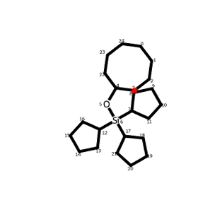 C1CCCC(O[Si](C2CCCC2)(C2CCCC2)C2CCCC2)CCC1